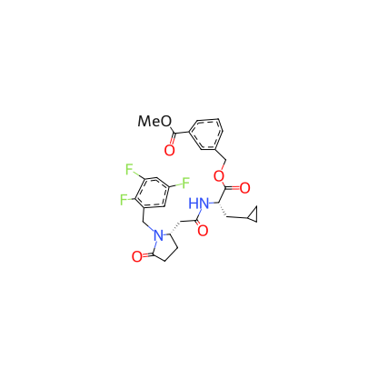 COC(=O)c1cccc(COC(=O)[C@H](CC2CC2)NC(=O)C[C@@H]2CCC(=O)N2Cc2cc(F)cc(F)c2F)c1